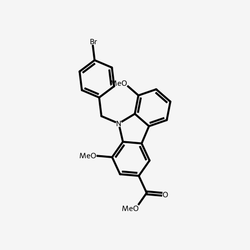 COC(=O)c1cc(OC)c2c(c1)c1cccc(OC)c1n2Cc1ccc(Br)cc1